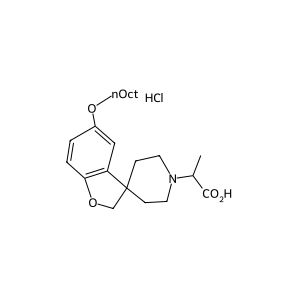 CCCCCCCCOc1ccc2c(c1)C1(CCN(C(C)C(=O)O)CC1)CO2.Cl